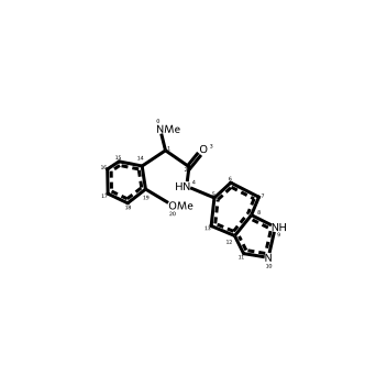 CNC(C(=O)Nc1ccc2[nH]ncc2c1)c1ccccc1OC